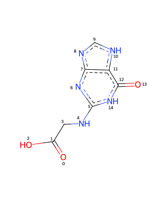 O=C(O)CNc1nc2nc[nH]c2c(=O)[nH]1